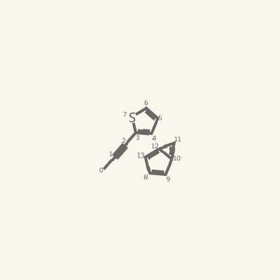 CC#Cc1cccs1.c1cc2cc-2c1